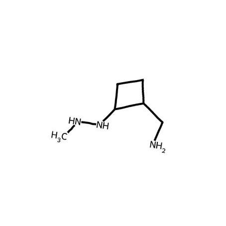 CNNC1CCC1CN